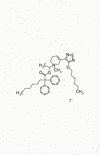 CCCCCCOc1nsnc1C1=CCC[N+](C)(C(C)OC(=O)C(CCCCCC)(c2ccccc2)c2ccccc2)C1.[I-]